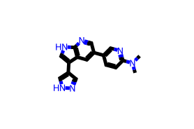 CN(C)c1ccc(-c2cnc3[nH]cc(-c4cn[nH]c4)c3c2)cn1